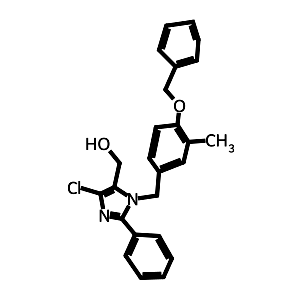 Cc1cc(Cn2c(-c3ccccc3)nc(Cl)c2CO)ccc1OCc1ccccc1